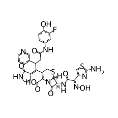 Nc1nc(C(=NO)C(=O)N[C@@H]2C(=O)N3C(C(=O)O)=C(C(=C4CCNC4=O)C(CC(=O)Nc4ccc(O)c(F)c4)c4cccnc4)CS[C@H]23)cs1